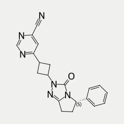 N#Cc1cc(C2CC(n3nc4n(c3=O)[C@H](c3ccccc3)CC4)C2)ncn1